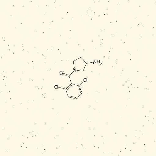 NC1CCN(C(=O)c2c(Cl)cccc2Cl)C1